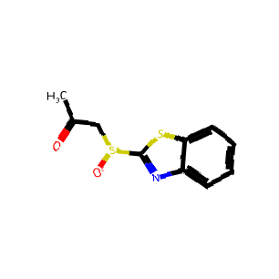 CC(=O)C[S+]([O-])c1nc2ccccc2s1